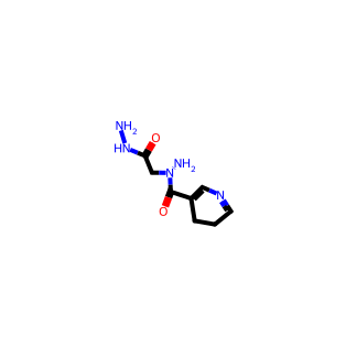 NNC(=O)CN(N)C(=O)C1=CN=CCC1